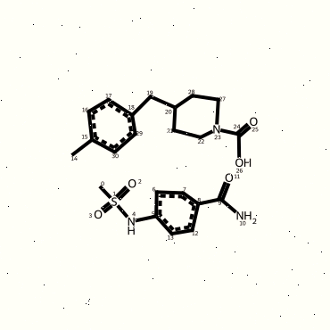 CS(=O)(=O)Nc1ccc(C(N)=O)cc1.Cc1ccc(CC2CCN(C(=O)O)CC2)cc1